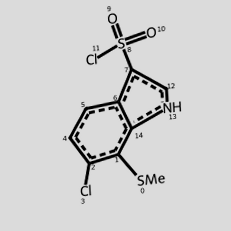 CSc1c(Cl)ccc2c(S(=O)(=O)Cl)c[nH]c12